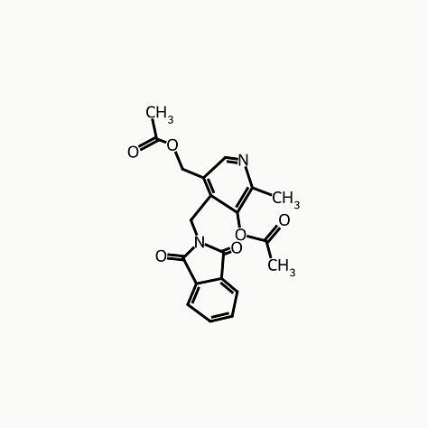 CC(=O)OCc1cnc(C)c(OC(C)=O)c1CN1C(=O)c2ccccc2C1=O